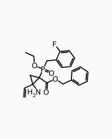 C=CC1(N)CC1(C(=O)OCc1ccccc1)P(=O)(Cc1ccccc1F)OCC